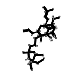 C=CC[C@H]1C[C@@]2(CC=C(C)C)C(=O)[C@H](C(=O)C=C2OC)[C@]1(C)CCCC(C)(C)O[Si](CC)(CC)CC